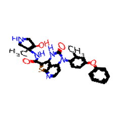 Cc1cc(Oc2ccccc2)ccc1N1C(=O)Nc2c(C(=O)N[C@@]3(C)CNC[C@H]3O)sc3nccc1c23